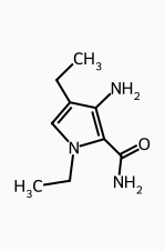 CCc1cn(CC)c(C(N)=O)c1N